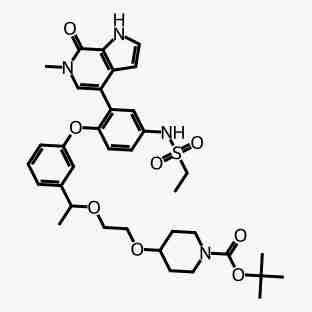 CCS(=O)(=O)Nc1ccc(Oc2cccc(C(C)OCCOC3CCN(C(=O)OC(C)(C)C)CC3)c2)c(-c2cn(C)c(=O)c3[nH]ccc23)c1